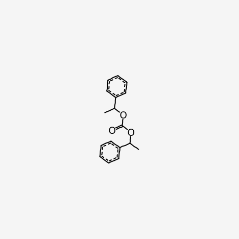 CC(OC(=O)OC(C)c1ccccc1)c1ccccc1